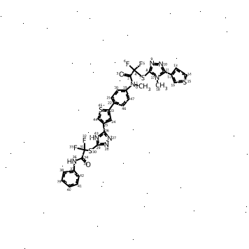 CN(C(=O)C(F)(F)Sc1nnc(-c2ccsc2)n1C)c1ccc(-c2cc(-c3nnc(SC(F)(F)C(=O)Nc4ccccc4)[nH]3)cs2)cc1